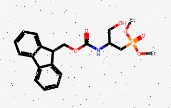 CCOP(=O)(CC(CO)NC(=O)OCC1c2ccccc2-c2ccccc21)OCC